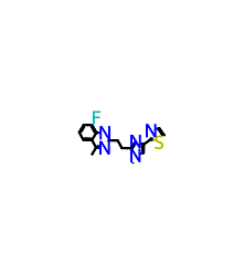 Cc1nc(CCc2nc(-c3nccs3)cn2C)nc2c(F)cccc12